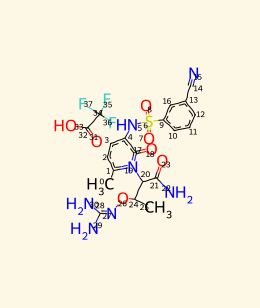 Cc1ccc(NS(=O)(=O)c2cccc(C#N)c2)c(=O)n1C(C(N)=O)C(C)ON=C(N)N.O=C(O)C(F)(F)F